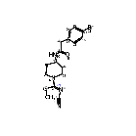 CS/C(=N\C#N)N1CCC(NC(=O)Cc2ccc(Br)cc2)CC1